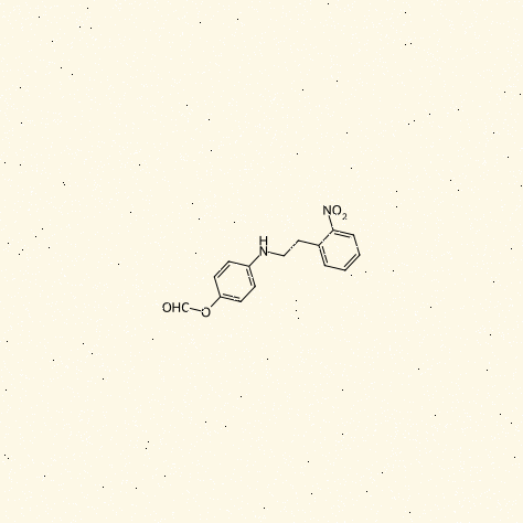 O=COc1ccc(NCCc2ccccc2[N+](=O)[O-])cc1